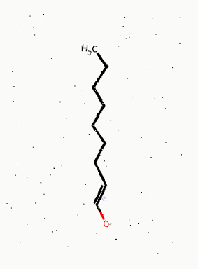 CCCCCCC/C=C/[O]